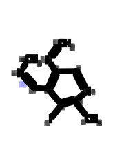 C=Nc1cnc(C)c(I)c1/C=N\C